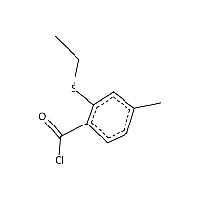 CCSc1cc(C)ccc1C(=O)Cl